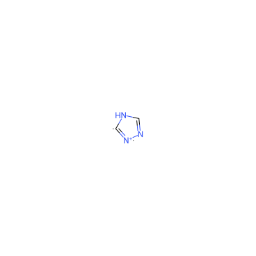 [C]1=[N+]N=CN1